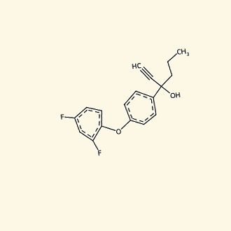 C#CC(O)(CCC)c1ccc(Oc2ccc(F)cc2F)cc1